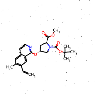 C=Cc1cc2c(O[C@@H]3C[C@@H](C(=O)OC)N(C(=O)OC(C)(C)C)C3)nccc2cc1C